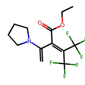 C=C(C(C(=O)OCC)=C(C(F)(F)F)C(F)(F)F)N1CCCC1